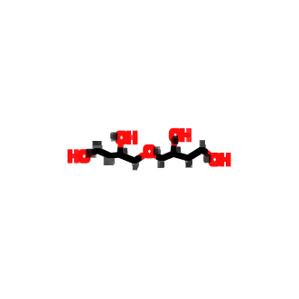 OCCC(O)COCC(O)CCO